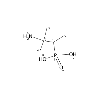 CC(C(C)(C)N)P(=O)(O)O